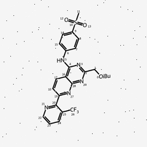 CC(C)COCc1nc(Nc2ccc(S(C)(=O)=O)cc2)c2ccc(-c3ncccc3C(F)(F)F)nc2n1